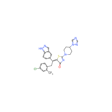 O=C1N=C(N2CCC(n3cncn3)CC2)SC1=C(Cc1ccc(Cl)cc1C(F)(F)F)c1ccc2[nH]ncc2c1